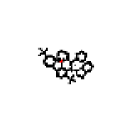 CC(C)(C)c1ccc2c(c1)Cc1c-2ccc(C(C)(C)C)[c]1[Hf](=[C](c1ccccc1)c1ccccc1)[CH]1C=Cc2ccccc21